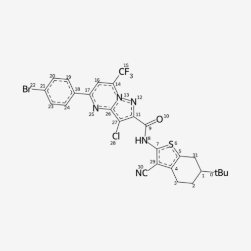 CC(C)(C)C1CCc2c(sc(NC(=O)c3nn4c(C(F)(F)F)cc(-c5ccc(Br)cc5)nc4c3Cl)c2C#N)C1